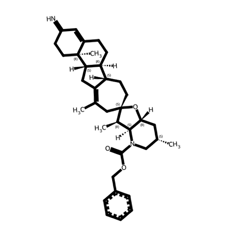 CC1=C2C[C@H]3[C@@H](CCC4=CC(=N)CC[C@@]43C)[C@@H]2CC[C@@]2(C1)O[C@@H]1C[C@H](C)CN(C(=O)OCc3ccccc3)[C@H]1[C@H]2C